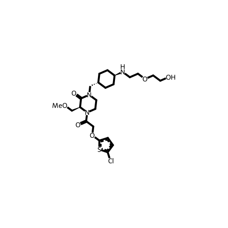 COC[C@H]1C(=O)N(C[C@H]2CC[C@H](NCCOCCO)CC2)CCN1C(=O)COc1ccc(Cl)s1